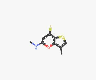 CNc1cc(=S)c2scc(C)c2o1